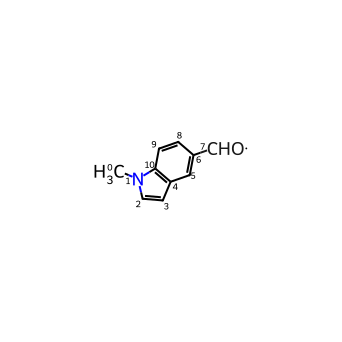 Cn1ccc2cc([C]=O)ccc21